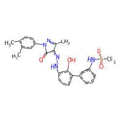 CC1=NN(c2ccc(C)c(C)c2)C(=O)C1=NNc1cccc(-c2cccc(NS(=O)(=O)C(F)(F)F)c2)c1O